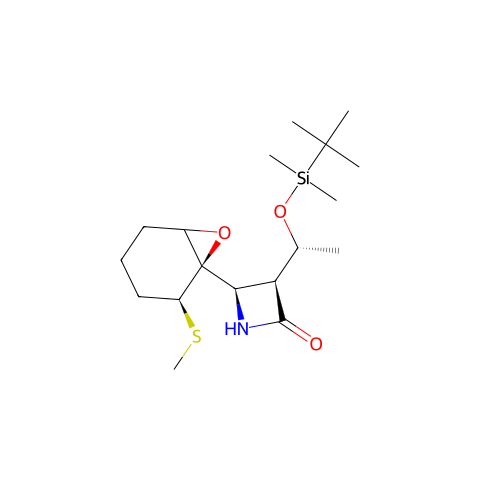 CS[C@H]1CCCC2O[C@]21[C@@H]1NC(=O)[C@@H]1[C@@H](C)O[Si](C)(C)C(C)(C)C